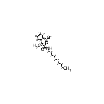 CCCCCCCCCCNC(=O)OC(C)c1ccccc1[N+](=O)[O-]